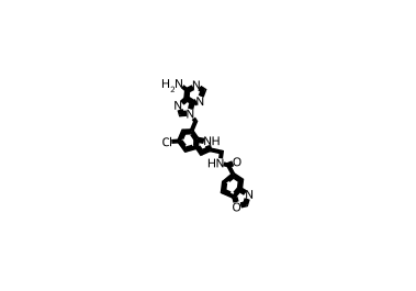 Nc1ncnc2c1ncn2Cc1cc(Cl)cc2cc(CNC(=O)c3ccc4ocnc4c3)[nH]c12